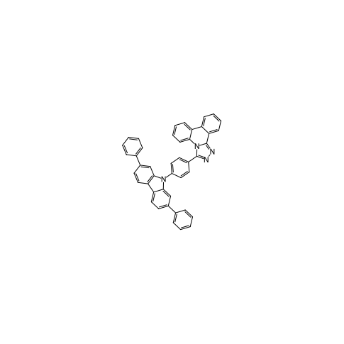 c1ccc(-c2ccc3c4ccc(-c5ccccc5)cc4n(-c4ccc(-c5nnc6c7ccccc7c7ccccc7n56)cc4)c3c2)cc1